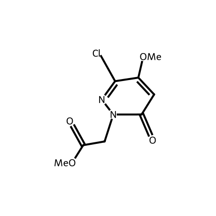 COC(=O)Cn1nc(Cl)c(OC)cc1=O